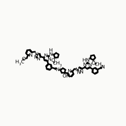 COCc1cccc(Cn2cc(-c3cc(-c4cccc(C#[N+]C5CCC(O)(c6cccc(Cn7cc(-c8cc(-c9cccc(C#N)c9)nc(N[C@@H]9CCC[C@H]9OC)n8)nn7)n6)C5)c4)nc(N[C@@H]4CCC[C@H]4OC)n3)nn2)n1